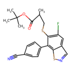 CC(CSc1c(F)cc2cnsc2c1-c1ccc(C#N)cc1)C(=O)OC(C)(C)C